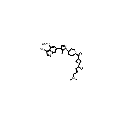 COc1cc(-c2cnn(C3CCN(C(=O)C4CN(C(=O)/C=C/CN(C)C)C4)CC3)c2C)cn2ncc(C#N)c12